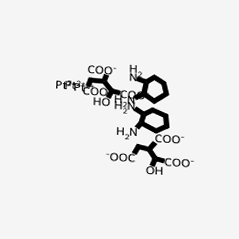 NC1CCCCC1N.NC1CCCCC1N.O=C([O-])CC(C(=O)[O-])C(O)C(=O)[O-].O=C([O-])CC(C(=O)[O-])C(O)C(=O)[O-].[Pt+2].[Pt+2].[Pt+2]